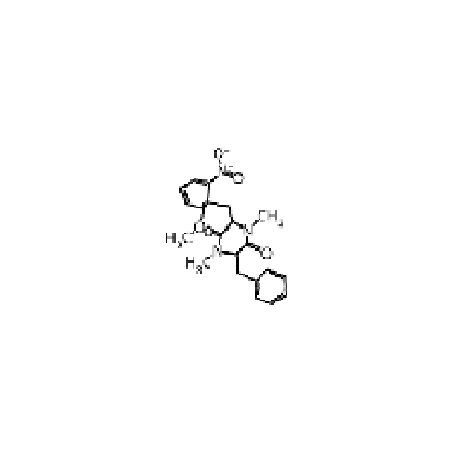 COc1cccc([N+](=O)[O-])c1CC1C(=O)N(C)C(Cc2ccccc2)C(=O)N1C